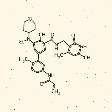 C=CC(=O)Nc1ccc(C)c(-c2cc(C(=O)NCc3c(C)cc(C)[nH]c3=O)c(C)c(N(CC)C3CCOCC3)c2)c1